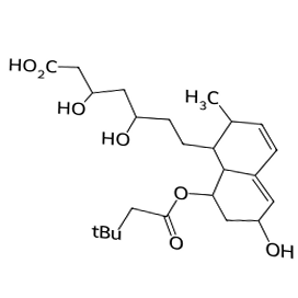 CC1C=CC2=CC(O)CC(OC(=O)CC(C)(C)C)C2C1CCC(O)CC(O)CC(=O)O